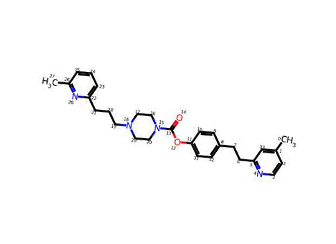 Cc1ccnc(CCc2ccc(OC(=O)N3CCN(CCCc4cccc(C)n4)CC3)cc2)c1